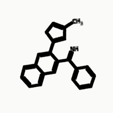 CC1=CCC(c2cc3ccccc3cc2C(=N)c2ccccc2)=C1